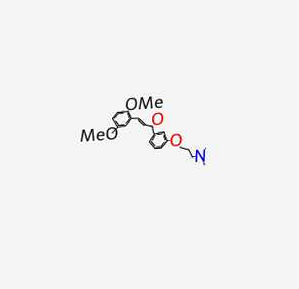 COc1ccc(OC)c(C=CC(=O)c2cccc(OCCCN(C)C)c2)c1